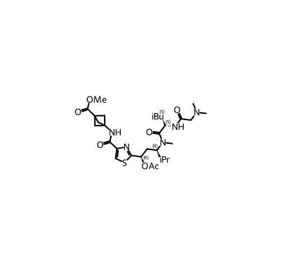 CC[C@H](C)[C@H](NC(=O)CN(C)C)C(=O)N(C)[C@H](C[C@@H](OC(C)=O)c1nc(C(=O)NC23CC(C(=O)OC)(C2)C3)cs1)C(C)C